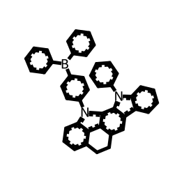 c1ccc(B(c2ccccc2)c2ccc(-n3c4cccc5c4c4c(cc6c7ccccc7n(-c7ccccc7)c6c43)CC5)cc2)cc1